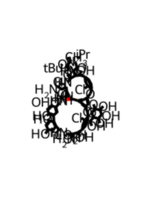 CC(C)C[C@H](C(=O)NC1C(=O)N[C@@H](CC(N)=O)C(=O)N[C@H]2C(=O)N[C@@H](C=O)c3ccc(O)c(c3)C3=C(CC(O)C=C3O)[C@@H](C(=O)O)NC(=O)[C@H](N)C(O)c3ccc(c(Cl)c3)Oc3cc2cc(c3OC2OC(CO)C(O)C(O)C2O)Oc2ccc(cc2Cl)C1O)N(C)C(=O)OC(C)(C)C